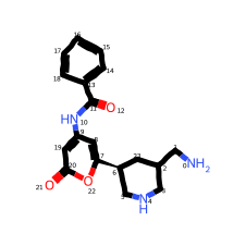 NCC1CNC[C@@H](c2cc(NC(=O)c3ccccc3)cc(=O)o2)C1